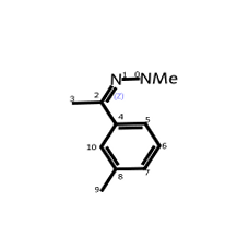 CN/N=C(/C)c1cccc(C)c1